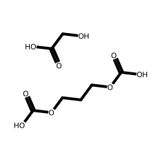 O=C(O)CO.O=C(O)OCCCOC(=O)O